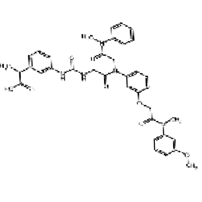 COc1cccc(N(C)C(=O)COc2cccc(N(CC(=O)N(C)c3ccccc3)C(=O)CNC(=O)Nc3cccc(C(C)C(=O)O)c3)c2)c1